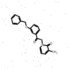 Cc1cccn(CC(=O)c2cccc(OCc3ccccc3)c2)c1=O